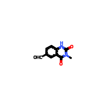 Cn1c(=O)[nH]c2ccc(C=O)cc2c1=O